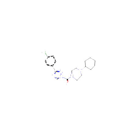 O=C(N1CCN(C2CCCCC2)CC1)n1cnc(-c2ccc(Cl)cc2)n1